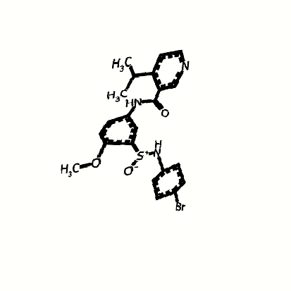 COc1ccc(NC(=O)c2cnccc2C(C)C)cc1[S+]([O-])Nc1ccc(Br)cc1